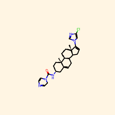 C[C@]12CC[C@H](NC(=O)N3C=CN=CC3)CC1=CCC1C2CC[C@]2(C)C(n3cnc(Cl)c3)=CCC12